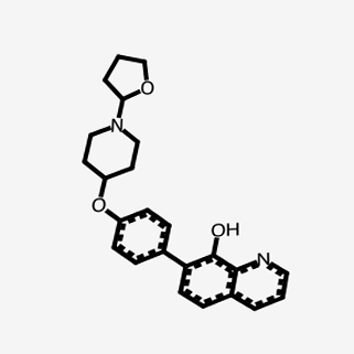 Oc1c(-c2ccc(OC3CCN(C4CCCO4)CC3)cc2)ccc2cccnc12